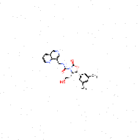 O=C(NCc1cncc2cccnc12)N1C(=O)O[C@H](c2cc(C(F)(F)F)cc(C(F)(F)F)c2)[C@@H]1CCO